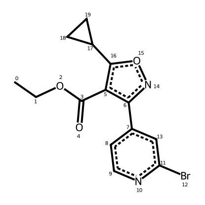 CCOC(=O)c1c(-c2ccnc(Br)c2)noc1C1CC1